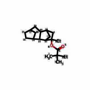 CCC(C)(C)C(=O)OC1(CC)CC2CC1C1C3CCC(C3)CC21